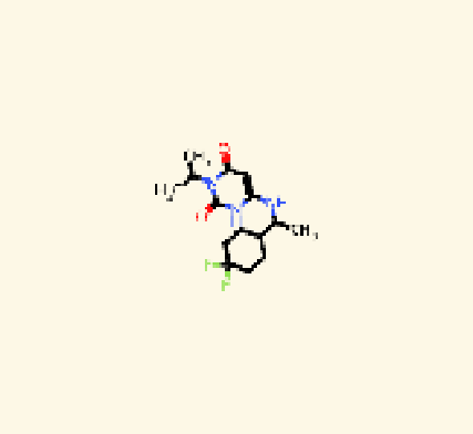 CC(Nc1cc(=O)n(C(C)C)c(=O)[nH]1)C1CCC(F)(F)CC1